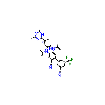 C=C(C)Nc1cc(-c2cc(C#N)cc(C(F)(F)F)c2)c(C#N)cc1N(C(=C)C)C(=C)/C=C(\C)c1nc(C)nc(C)n1